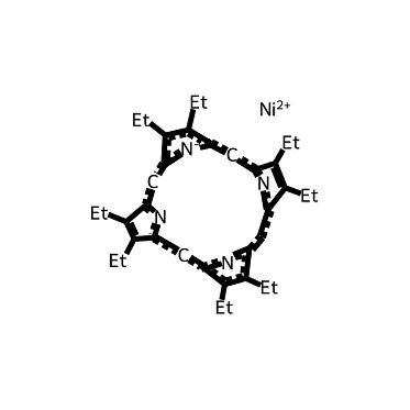 CCC1=C(CC)c2cc3[n-]c(cc4nc(cc5[n-]c(cc1n2)c(CC)c5CC)C(CC)=C4CC)c(CC)c3CC.[Ni+2]